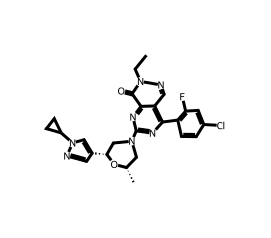 CCn1ncc2c(-c3ccc(Cl)cc3F)nc(N3C[C@@H](c4cnn(C5CC5)c4)O[C@@H](C)C3)nc2c1=O